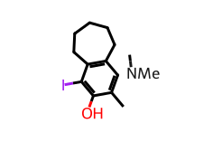 CNC.Cc1cc2c(c(I)c1O)CCCCC2